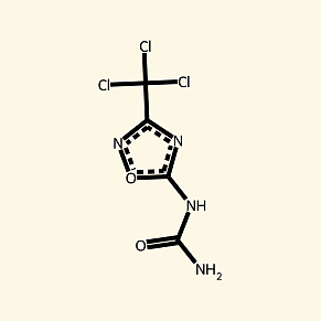 NC(=O)Nc1nc(C(Cl)(Cl)Cl)no1